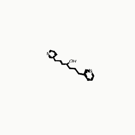 OC(CCCc1cccnc1)CCCc1cccnc1